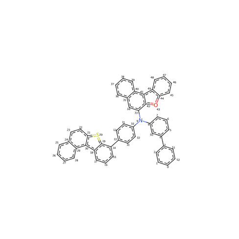 c1ccc(-c2cccc(N(c3ccc(-c4cccc5c4sc4ccc6ccccc6c45)cc3)c3cc4ccccc4c4c3oc3ccccc34)c2)cc1